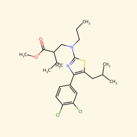 CCCN(CC(C(=O)OC)C(C)C)c1nc(-c2ccc(Cl)c(Cl)c2)c(CC(C)C)s1